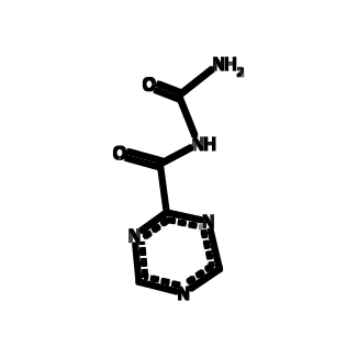 NC(=O)NC(=O)c1ncncn1